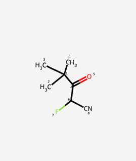 CC(C)(C)C(=O)C(F)C#N